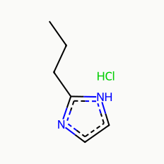 CCCc1ncc[nH]1.Cl